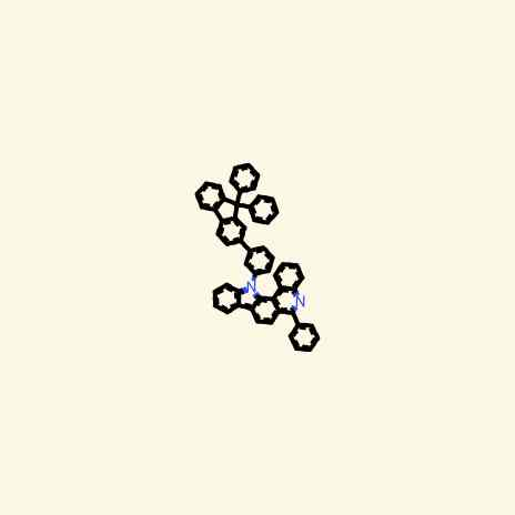 c1ccc(-c2nc3ccccc3c3c2ccc2c4ccccc4n(-c4cccc(-c5ccc6c(c5)C(c5ccccc5)(c5ccccc5)c5ccccc5-6)c4)c23)cc1